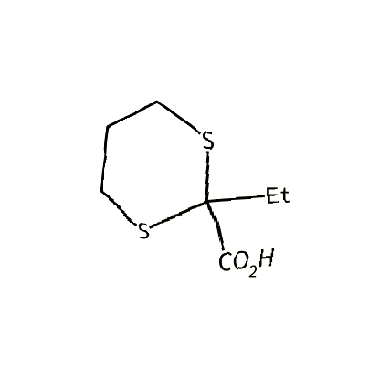 CCC1(C(=O)O)SCCCS1